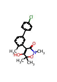 Cc1ccc(-c2ccc(Cl)cc2)cc1C1=C(O)C(C)(C)ON(C)C1=O